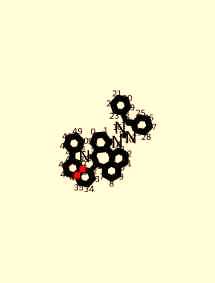 C1=C=c2c3c4c5c(cccc5ccc4n2-c2nc(-c4ccccc4)c4ccccc4n2)C(c2ccccc2)=C(n2c4ccccc4c4ccccc42)C=3C=1